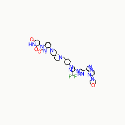 Cn1c(=O)n(C2CCC(=O)NC2=O)c2cccc(N3CCC4(CCCN(CC5CCC(n6cc(-n7cc(-c8cnn9ccc(N%10CCOCC%10)nc89)nn7)c(C(F)F)n6)CC5)C4)CC3)c21